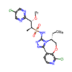 COC[C@@H]1COc2c(ccnc2Cl)-c2nnc(NS(=O)(=O)[C@@H](C)[C@@H](OC(C)C)c3ncc(Cl)cn3)n21